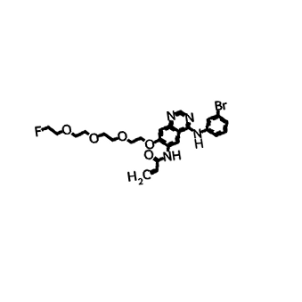 C=CC(=O)Nc1cc2c(Nc3cccc(Br)c3)ncnc2cc1OCCOCCOCCOCCF